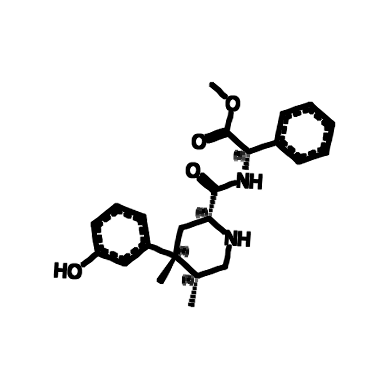 COC(=O)[C@@H](NC(=O)[C@H]1C[C@@](C)(c2cccc(O)c2)[C@@H](C)CN1)c1ccccc1